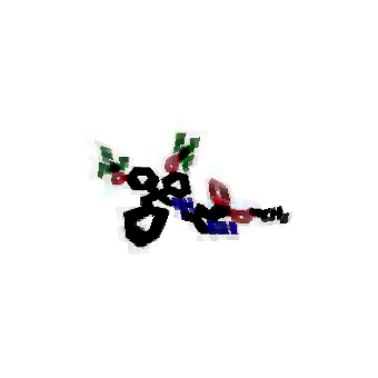 CCOC(=O)c1cc(CNCC(Cc2ccccc2)(c2cccc(OC(F)(F)F)c2)c2cccc(OC(F)(F)F)c2)c[nH]1